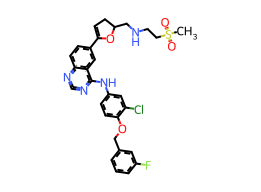 CS(=O)(=O)CCNCC1CC=C(c2ccc3ncnc(Nc4ccc(OCc5cccc(F)c5)c(Cl)c4)c3c2)O1